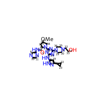 CO[C@H]1C[C@@H](C(=O)Nc2cnccn2)N(c2nc(Nc3cc(C4CC4)n[nH]3)nc(N3CCN(CCO)CC3)n2)C1